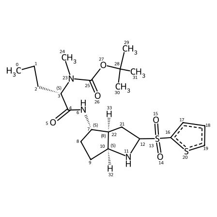 CCC[C@@H](C(=O)N[C@H]1CC[C@@H]2NC(S(=O)(=O)c3cccs3)C[C@H]12)N(C)C(=O)OC(C)(C)C